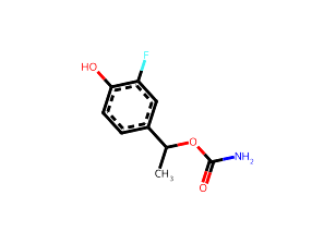 CC(OC(N)=O)c1ccc(O)c(F)c1